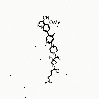 COc1cc(-c2cnc(N3CCN(C(=O)C4(F)CN(C(=O)/C=C/CN(C)C)C4)CC3)cc2C)cn2ncc(C#N)c12